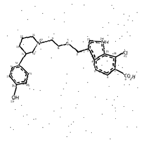 O=C(O)c1ccc2c(CSCCN3CCCC(c4ccc(O)cc4)C3)c[nH]c2c1Cl